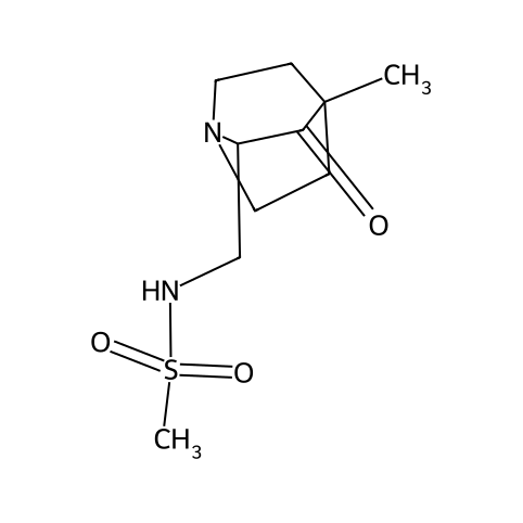 CC12CCN(CC1)C(CNS(C)(=O)=O)C2=O